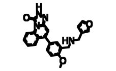 COc1ccc(-c2cc3n[nH]c(=O)n3c3ccccc23)cc1CNCc1ccoc1